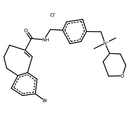 C[N+](C)(Cc1ccc(CNC(=O)C2=Cc3cc(Br)ccc3CCC2)cc1)C1CCOCC1.[Cl-]